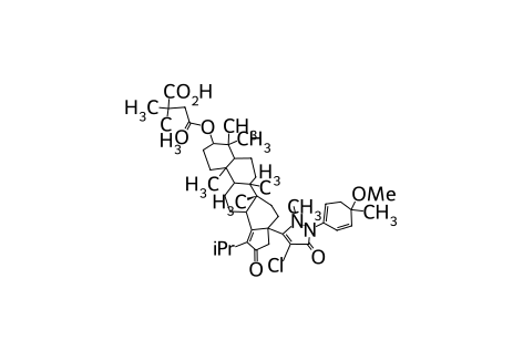 COC1(C)C=CC(n2c(=O)c(Cl)c(C34CC[C@]5(C)C(CCC6C7(C)CCC(OC(=O)CC(C)(C)C(=O)O)C(C)(C)C7CCC65C)C3=C(C(C)C)C(=O)C4)n2C)=CC1